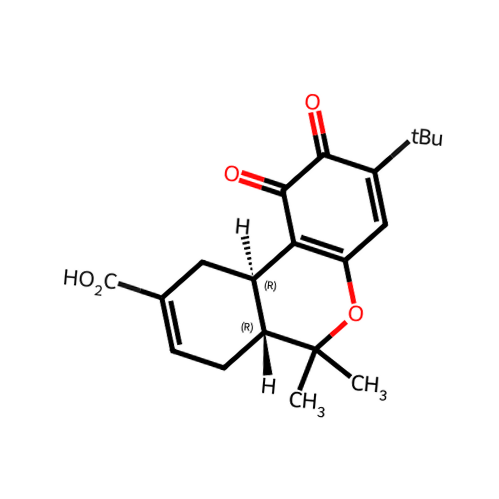 CC(C)(C)C1=CC2=C(C(=O)C1=O)[C@@H]1CC(C(=O)O)=CC[C@H]1C(C)(C)O2